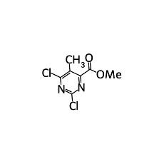 COC(=O)c1nc(Cl)nc(Cl)c1C